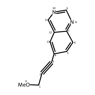 COCC#Cc1ccc2ncncc2c1